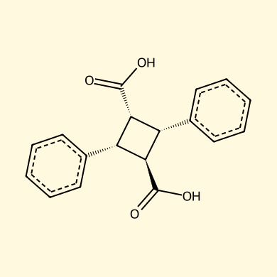 O=C(O)[C@H]1[C@H](c2ccccc2)[C@H](C(=O)O)[C@@H]1c1ccccc1